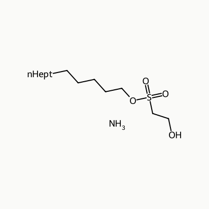 CCCCCCCCCCCCOS(=O)(=O)CCO.N